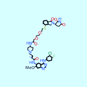 COc1cc2ncnc(Nc3ccc(F)c(Cl)c3)c2cc1NC(=O)/C=C/CN1CCC(NC(=O)COCCOCCSc2cccc3c2CN(C2CCC(=O)NC2=O)C3=O)CC1